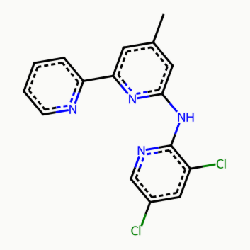 Cc1cc(Nc2ncc(Cl)cc2Cl)nc(-c2ccccn2)c1